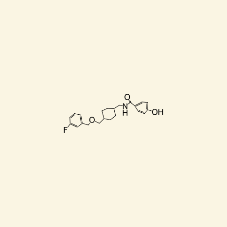 O=C(NCC1CCC(COCc2cccc(F)c2)CC1)c1ccc(O)cc1